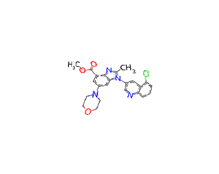 COC(=O)c1cc(N2CCOCC2)cc2c1nc(C)n2-c1cnc2cccc(Cl)c2c1